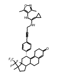 Cc1noc(C)c1NC(NCC#Cc1ccc([C@H]2CC3(C)C(CCC3(C)C(F)(F)C(F)(F)F)C3CCC4=CC(=O)CCC4=C32)cc1)=C1CC1